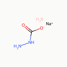 B.NNC(=O)[O-].[Na+]